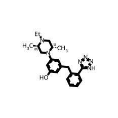 CCN1C[C@H](C)N(c2cc(O)cc(Cc3ccccc3-c3nnn[nH]3)c2)C[C@H]1C